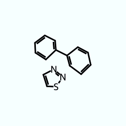 c1ccc(-c2ccccc2)cc1.c1csnn1